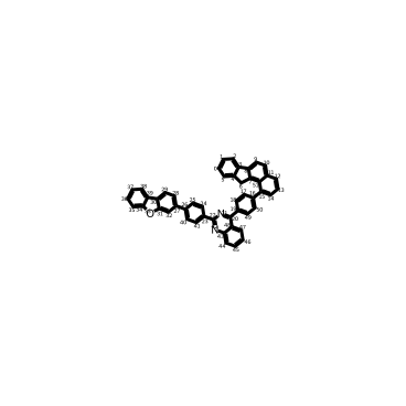 c1ccc2c(c1)Cc1c-2ccc2cccc(-c3ccc(-c4nc(-c5ccc(-c6ccc7c(c6)oc6ccccc67)cc5)nc5ccccc45)cc3)c12